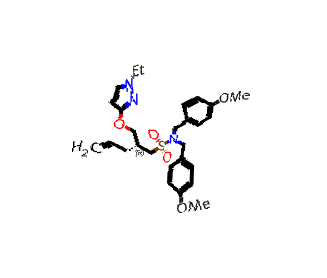 C=CC[C@H](COc1ccn(CC)n1)CS(=O)(=O)N(Cc1ccc(OC)cc1)Cc1ccc(OC)cc1